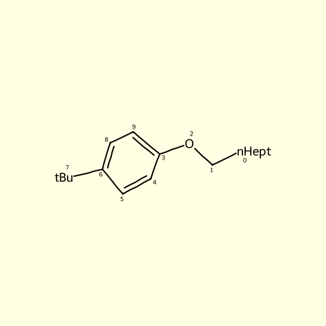 [CH2]CCCCCCCOc1ccc(C(C)(C)C)cc1